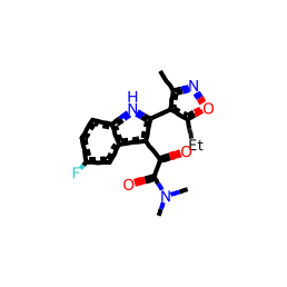 CCc1onc(C)c1-c1[nH]c2ccc(F)cc2c1C(=O)C(=O)N(C)C